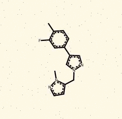 Cc1ccc(-c2cnn(Cc3ccnn3C)c2)cc1F